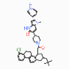 C1=CC=CNC=C1.Cn1ccc2[nH]c(=O)c(C3CCN(C(=O)CC4CC(CC(C)(C)C)Cc5ccc6c(c54)CCc4c(Cl)cccc4-6)CC3)cc21